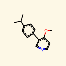 COc1ccncc1-c1ccc(C(C)C)cc1